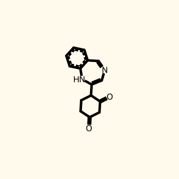 O=C1CCC(C2=CN=Cc3ccccc3N2)C(=O)C1